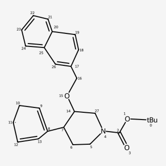 CC(C)(C)OC(=O)N1CCC(C2=CC[CH]C=C2)C(OCc2ccc3ccccc3c2)C1